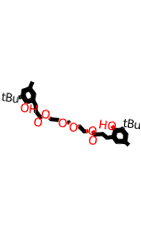 Cc1cc(CCC(=O)OCCOCOCCOC(=O)CCc2cc(C)cc(C(C)(C)C)c2O)c(O)c(C(C)(C)C)c1